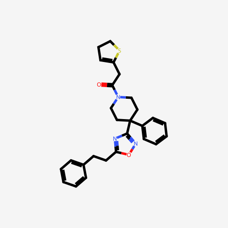 O=C(CC1=CCCS1)N1CCC(c2ccccc2)(c2noc(CCc3ccccc3)n2)CC1